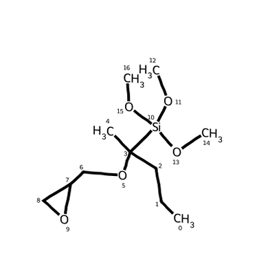 CCCC(C)(OCC1CO1)[Si](OC)(OC)OC